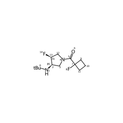 CC(C)(C)N[C@@H]1CN(C(=O)C2(F)CCC2)C[C@@H]1F